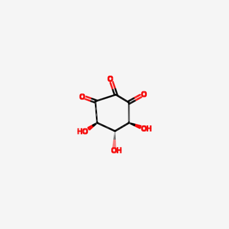 O=C1C(=O)[C@@H](O)[C@H](O)[C@@H](O)C1=O